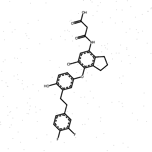 O=C(O)CC(=O)Nc1cc(Cl)c(Oc2ccc(O)c(CCc3ccc(F)c(F)c3)c2)c2c1CCC2